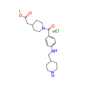 COC(=O)CC1CCN(C(=O)c2ccc(NCC3CCNCC3)cc2)CC1.Cl